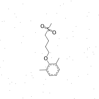 Cc1cccc(C)c1OCCCCS(C)(=O)=O